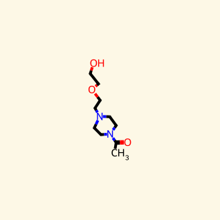 CC(=O)N1CCN(CCOCCO)CC1